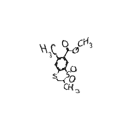 COC(=O)c1cc2c(cc1C)SCC(C)S2(=O)=O